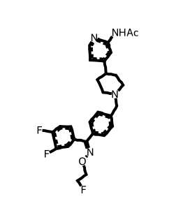 CC(=O)Nc1cc(C2CCN(Cc3ccc(C(=NOCCF)c4ccc(F)c(F)c4)cc3)CC2)ccn1